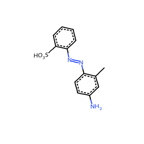 Cc1cc(N)ccc1N=Nc1ccccc1S(=O)(=O)O